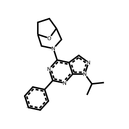 CC(C)n1ncc2c(N3CC4CCC(C3)O4)nc(-c3cc[c]cc3)nc21